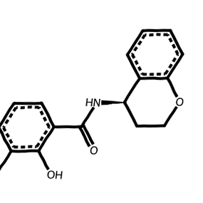 O=C(N[C@@H]1CCOc2ccccc21)c1cccc(Cl)c1O